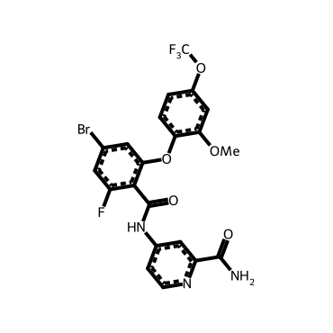 COc1cc(OC(F)(F)F)ccc1Oc1cc(Br)cc(F)c1C(=O)Nc1ccnc(C(N)=O)c1